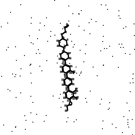 C=CCCC1CCC(C2CC=C(c3ccc(-c4ccc(-c5ccc(OCC)c(F)c5F)cc4)c(F)c3)CC2)CC1